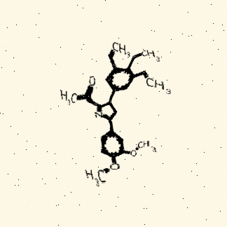 CCc1cc(C2CC(c3ccc(OC)c(OC)c3)=NC2C(C)=O)cc(CC)c1CC